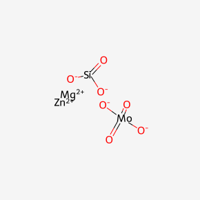 O=[Si]([O-])[O-].[Mg+2].[O]=[Mo](=[O])([O-])[O-].[Zn+2]